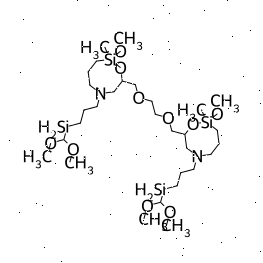 COC(OC)[SiH2]CCCN1CCC[Si](C)(OC)OC(COCCOCC2CN(CCC[SiH2]C(OC)OC)CCC[Si](C)(OC)O2)C1